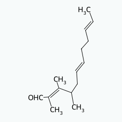 C/C=C/CC/C=C/CC(C)/C(C)=C(\C)C=O